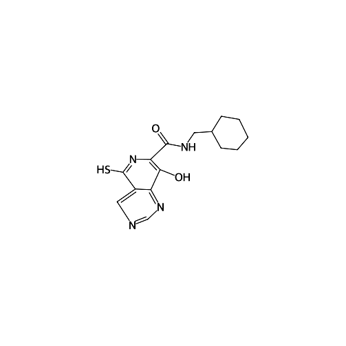 O=C(NCC1CCCCC1)c1nc(S)c2cncnc2c1O